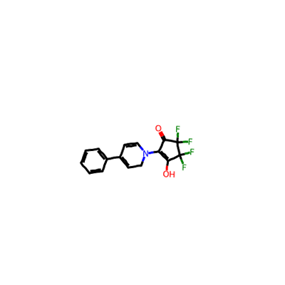 O=C1C(N2C=CC(c3ccccc3)=CC2)=C(O)C(F)(F)C1(F)F